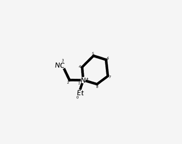 CC[N+]1(CC#N)CCCCC1